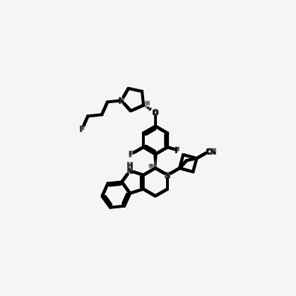 N#CC12CC(N3CCc4c([nH]c5ccccc45)[C@H]3c3c(F)cc(O[C@H]4CCN(CCCF)C4)cc3F)(C1)C2